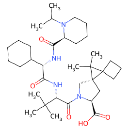 CC(C)N1CCCC[C@H]1C(=O)N[C@H](C(=O)N[C@H](C(=O)N1C[C@]2(C[C@H]1C(=O)O)C(C)(C)C21CCC1)C(C)(C)C)C1CCCCC1